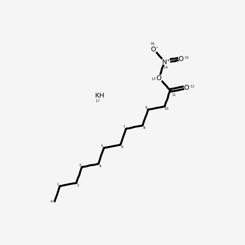 CCCCCCCCCCCC(=O)O[N+](=O)[O-].[KH]